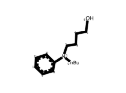 CCCCN(CCCCO)c1ccccc1